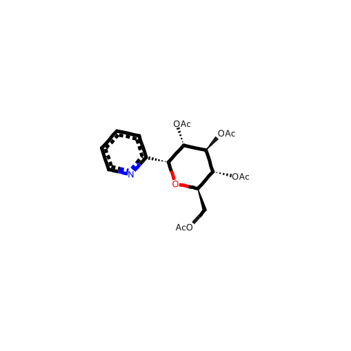 CC(=O)OC[C@H]1O[C@H](c2ccccn2)[C@H](OC(C)=O)[C@@H](OC(C)=O)[C@@H]1OC(C)=O